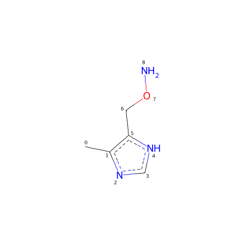 Cc1nc[nH]c1CON